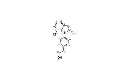 CCc1nc2cccc(Cl)c2n1-c1ccc(CCO)cc1